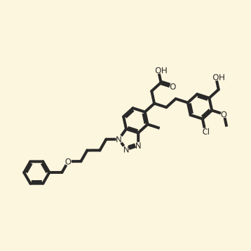 COc1c(Cl)cc(CCC(CC(=O)O)c2ccc3c(nnn3CCCCOCc3ccccc3)c2C)cc1CO